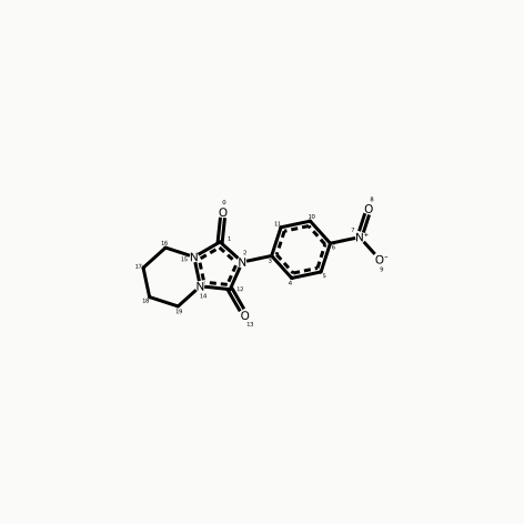 O=c1n(-c2ccc([N+](=O)[O-])cc2)c(=O)n2n1CCCC2